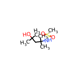 CC(C)(O)CC(C)(C)NS(C)(=O)=O